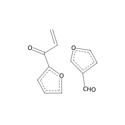 C=CC(=O)c1ccco1.O=Cc1ccoc1